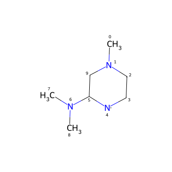 CN1CC[N]C(N(C)C)C1